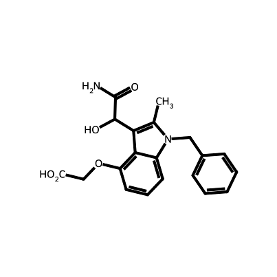 Cc1c(C(O)C(N)=O)c2c(OCC(=O)O)cccc2n1Cc1ccccc1